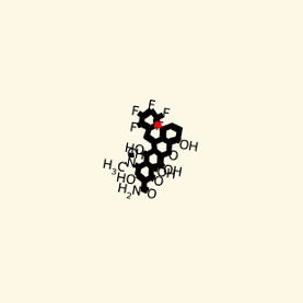 CN(C)C1C(O)=C(C(N)=O)C(=O)C2(O)C(O)=C3C(=O)c4c(O)cccc4/C(=C\c4c(F)c(F)c(F)c(F)c4F)C3C(O)C12